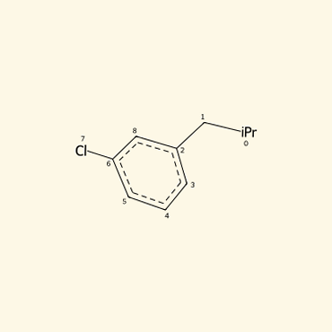 CC(C)Cc1cccc(Cl)c1